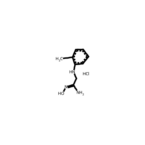 Cc1ccccc1NCC(N)=NO.Cl